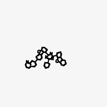 c1ccc(-c2nc(-c3cccc4c3oc3ccccc34)nc(-c3cccc4oc5cc(-c6ccc7cccnc7c6)ccc5c34)n2)cc1